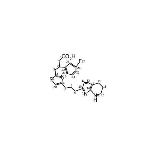 O=C(O)CC(Cc1nc(CCCc2ccc3c(n2)NCCC3)cs1)c1cccc(F)c1